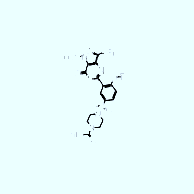 CCCC(=O)N1CCN(S(=O)(=O)c2ccc(OCC)c(-c3nc4c(CCC)nn(C)c4c(=O)[nH]3)c2)CC1